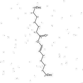 CCCCCCCCCCCCCC/C=C/OC(=O)CCCCCCCCCCCCCCC